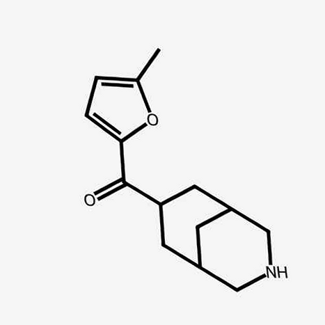 Cc1ccc(C(=O)C2CC3CNCC(C3)C2)o1